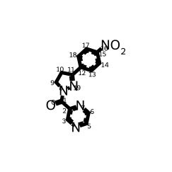 O=C(c1cnccn1)N1CCC(c2ccc([N+](=O)[O-])cc2)=N1